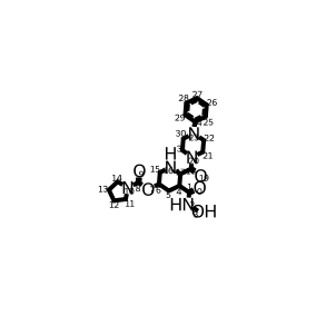 O=C(NO)C1CC(OC(=O)N2CCCC2)CNC1C(=O)N1CCN(c2ccccc2)CC1